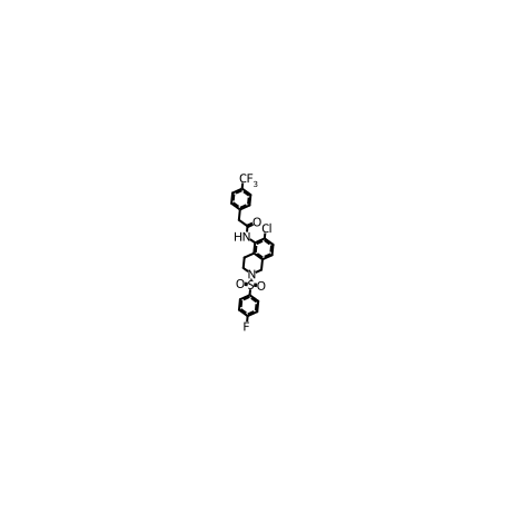 O=C(Cc1ccc(C(F)(F)F)cc1)Nc1c(Cl)ccc2c1CCN(S(=O)(=O)c1ccc(F)cc1)C2